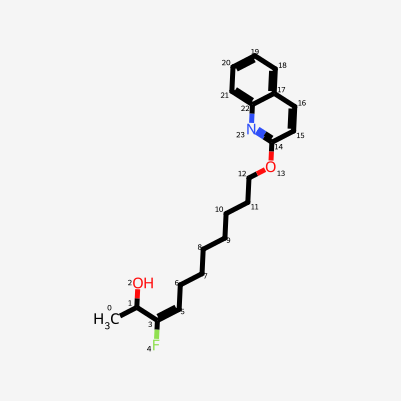 CC(O)/C(F)=C\CCCCCCCOc1ccc2ccccc2n1